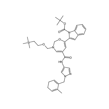 CC1=CCCC=C1Cn1cc(NC(=O)C2=CN(COCC[Si](C)(C)C)COC(c3cc4ccccc4n3C(=O)OC(C)(C)C)=C2)cn1